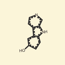 Oc1ccc2[nH]c3cnccc3c2c1